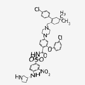 CC1(C)CCC(CN2CCN(c3ccc(C(=O)NS(=O)(=O)c4ccc(N[C@@H]5CCNC5)c([N+](=O)[O-])c4)c(Oc4cccc(Cl)c4)c3)CC2)=C(c2ccc(Cl)cc2)C1